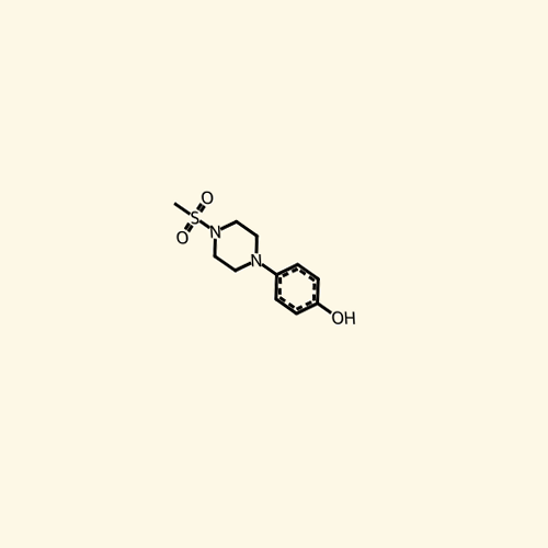 CS(=O)(=O)N1CCN(c2ccc(O)cc2)CC1